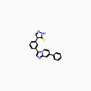 S=C1NN=CC1c1cccc(-c2cnc3cc(-c4ccccc4)ccn23)c1